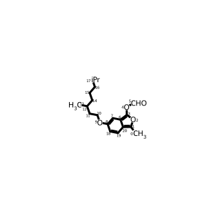 Cc1oc(OC=O)c2cc(OCCC(C)CCCC(C)C)ccc12